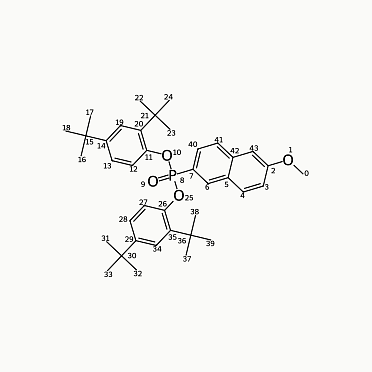 COc1ccc2cc(P(=O)(Oc3ccc(C(C)(C)C)cc3C(C)(C)C)Oc3ccc(C(C)(C)C)cc3C(C)(C)C)ccc2c1